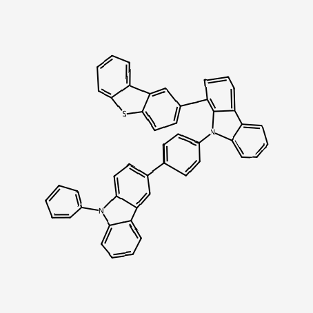 c1ccc(-n2c3ccccc3c3cc(-c4ccc(-n5c6ccccc6c6cccc(-c7ccc8sc9ccccc9c8c7)c65)cc4)ccc32)cc1